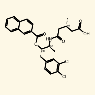 C[C@H](CC(=O)O)CC(=O)N[C@@H](C)[C@H](Cc1ccc(Cl)c(Cl)c1)OC(=O)c1ccc2ccccc2c1